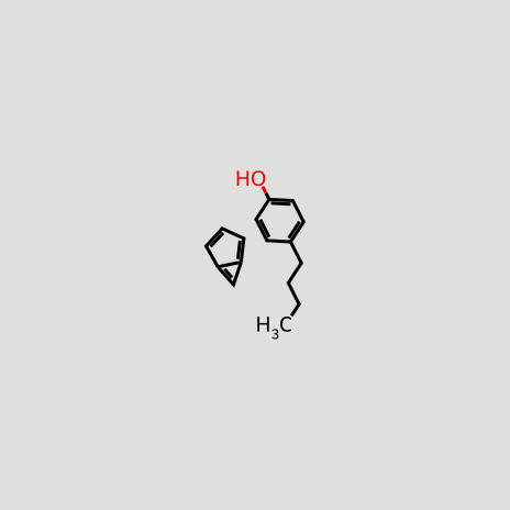 CCCCc1ccc(O)cc1.c1cc2cc-2c1